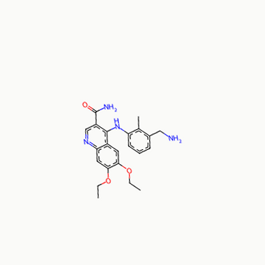 CCOc1cc2ncc(C(N)=O)c(Nc3cccc(CN)c3C)c2cc1OCC